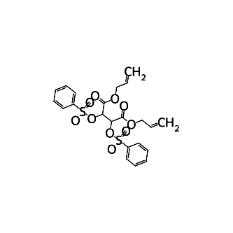 C=CCOC(=O)C(OS(=O)(=O)c1ccccc1)C(OS(=O)(=O)c1ccccc1)C(=O)OCC=C